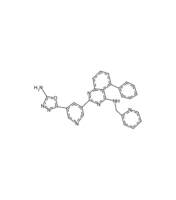 Nc1nnc(-c2cncc(-c3nc(NCc4ccccn4)c4c(-c5ccccc5)cccc4n3)c2)o1